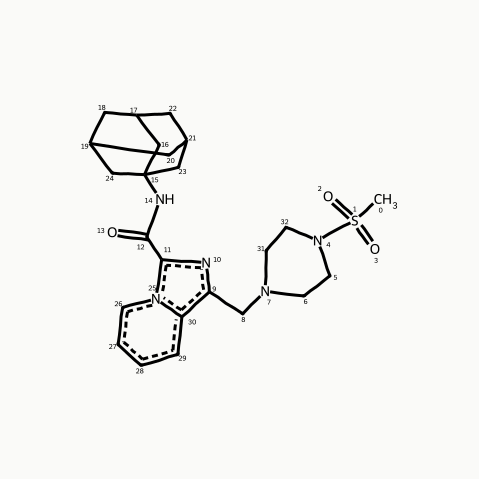 CS(=O)(=O)N1CCN(Cc2nc(C(=O)NC34CC5CC(CC(C5)C3)C4)n3ccccc23)CC1